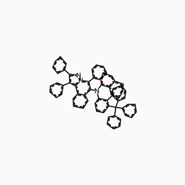 c1ccc(-c2nn3c(-c4ccccc4)c(N(c4cccc5c4-c4ccccc4C5(c4ccccc4)c4ccccc4)c4cccc5ccccc45)c4ccccc4c3c2-c2ccccc2)cc1